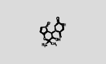 CC1(C)Oc2cc[s+]([O-])c2C(N2CC(=O)NCC2=O)C1O